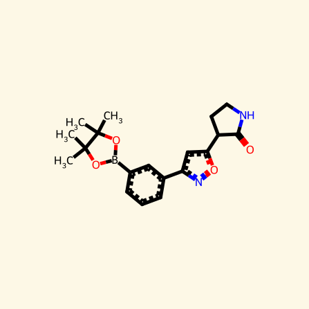 CC1(C)OB(c2cccc(-c3cc(C4CCNC4=O)on3)c2)OC1(C)C